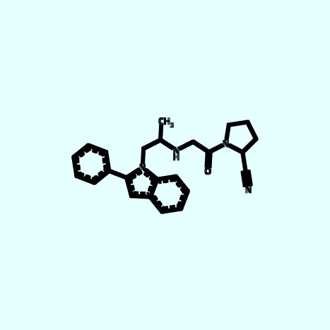 CC(Cn1c(-c2ccccc2)cc2ccccc21)NCC(=O)N1CCCC1C#N